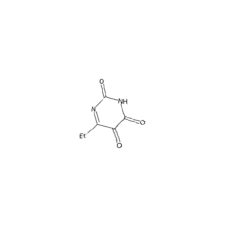 CCC1=NC(=O)NC(=O)C1=O